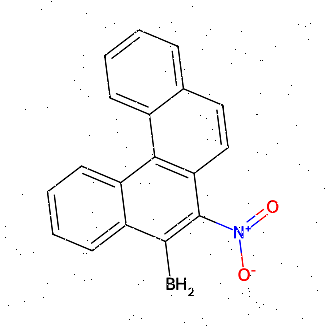 Bc1c([N+](=O)[O-])c2ccc3ccccc3c2c2ccccc12